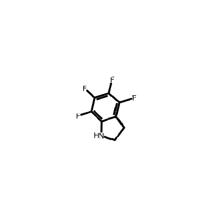 Fc1c(F)c(F)c2c(c1F)CCN2